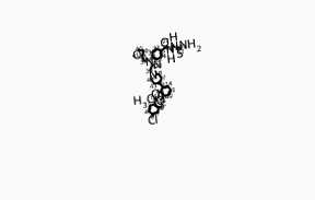 CC1(c2ccc(Cl)cc2F)Oc2cccc(C3CCN(Cc4nc5cc(C(=O)NNC(N)=S)ccc5n4CC4CCO4)CC3)c2O1